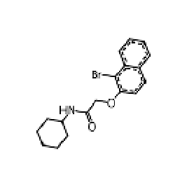 O=C(COc1ccc2ccccc2c1Br)NC1CCCCC1